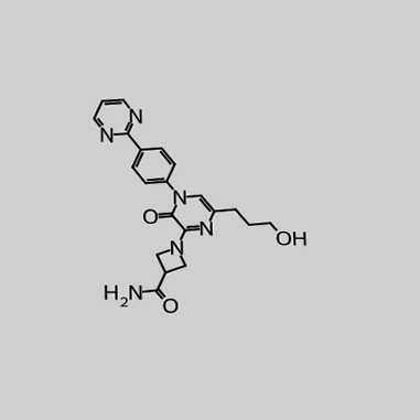 NC(=O)C1CN(c2nc(CCCO)cn(-c3ccc(-c4ncccn4)cc3)c2=O)C1